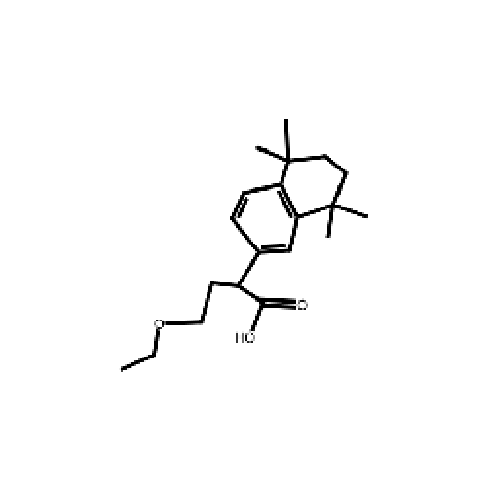 CCOCCC(C(=O)O)c1ccc2c(c1)C(C)(C)CCC2(C)C